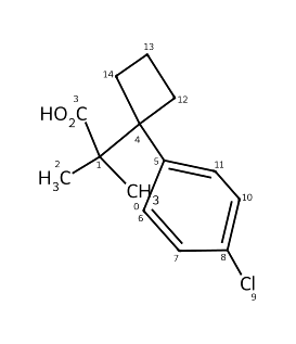 CC(C)(C(=O)O)C1(c2ccc(Cl)cc2)CCC1